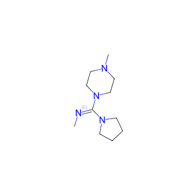 C/N=C(\N1CCCC1)N1CCN(C)CC1